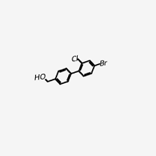 OCc1ccc(-c2ccc(Br)cc2Cl)cc1